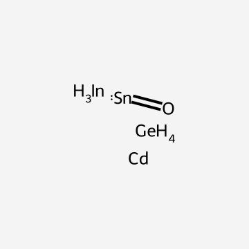 [Cd].[GeH4].[InH3].[O]=[Sn]